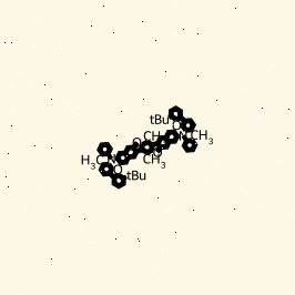 Cc1ccccc1N(c1ccc2cc3c(cc2c1)oc1c(C)c2c(oc4cc5cc(N(c6ccccc6C)c6cccc7c6oc6c(C(C)(C)C)cccc67)ccc5cc42)c(C)c13)c1cccc2c1oc1c(C(C)(C)C)cccc12